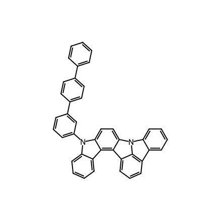 c1ccc(-c2ccc(-c3cccc(-n4c5ccccc5c5c6c7cccc8c9ccccc9n(c6ccc54)c87)c3)cc2)cc1